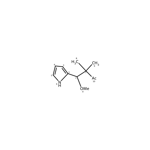 COC(c1ccc[nH]1)C(C)(C)C(C)=O